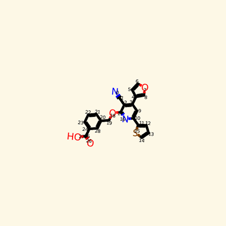 N#Cc1c(-c2ccoc2)cc(-c2cccs2)nc1OCc1cccc(C(=O)O)c1